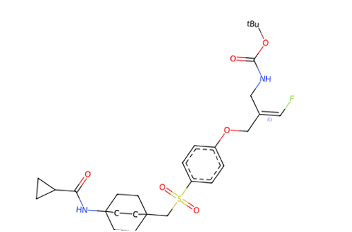 CC(C)(C)OC(=O)NC/C(=C\F)COc1ccc(S(=O)(=O)CC23CCC(NC(=O)C4CC4)(CC2)CC3)cc1